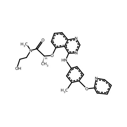 Cc1cc(Nc2ncnc3cccc(O[C@H](C)C(=O)N(C)CCO)c23)ccc1Oc1ccccn1